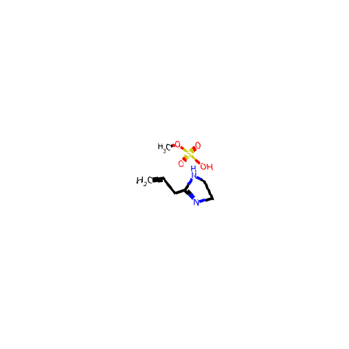 C=CCC1=NCCN1.COS(=O)(=O)O